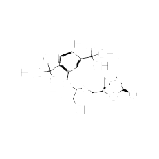 CCC(Oc1cc(C(C)(C)C)ccc1C(C)(C)C)SCc1n[nH]c(=O)o1